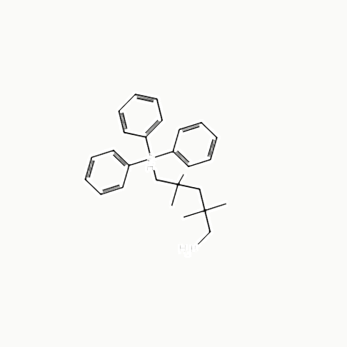 BCC(C)(C)CC(C)(C)C[PH](c1ccccc1)(c1ccccc1)c1ccccc1